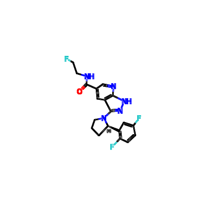 O=C(NCCF)c1cnc2[nH]nc(N3CCC[C@@H]3c3cc(F)ccc3F)c2c1